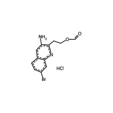 Cl.Nc1cc2ccc(Br)cc2nc1CCOC=O